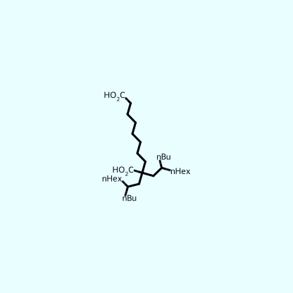 CCCCCCC(CCCC)CC(CCCCCCCC(=O)O)(CC(CCCC)CCCCCC)C(=O)O